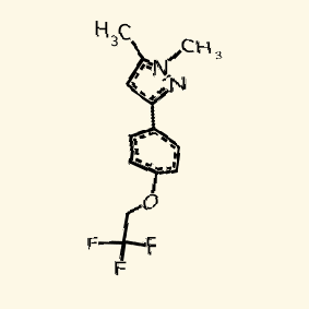 Cc1cc(-c2ccc(OCC(F)(F)F)cc2)nn1C